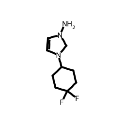 NN1C=CN(C2CCC(F)(F)CC2)C1